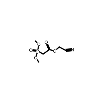 COP(=O)(CC(=O)OCC#N)OC